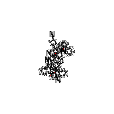 N#Cc1ccc2c(c1)c1ccccc1n2-c1cnc2c(c1)C1(c3ccc(-n4c5ccccc5c5ccccc54)cc3Oc3cc(-n4c5ccccc5c5ccccc54)ccc31)c1cc(-n3c4ccccc4c4cc(C#N)ccc43)cnc1-2